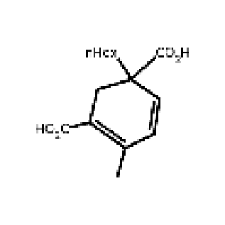 CCCCCCC1(C(=O)O)C=CC(C)=C(C(=O)O)C1